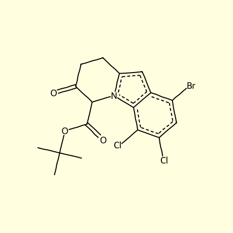 CC(C)(C)OC(=O)C1C(=O)CCc2cc3c(Br)cc(Cl)c(Cl)c3n21